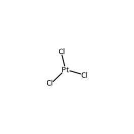 [Cl][Pt]([Cl])[Cl]